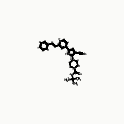 CC(C)(C)OC(=O)N1CCN(c2[nH]c(-c3ccnc(/C=C/c4ccccc4)c3)cc2C#N)CC1